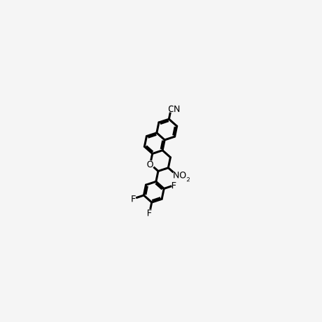 N#Cc1ccc2c3c(ccc2c1)OC(c1cc(F)c(F)cc1F)C([N+](=O)[O-])C3